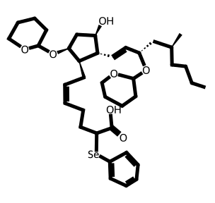 CCCC[C@H](C)C[C@@H](/C=C/[C@@H]1[C@@H](C/C=C\CCC([Se]c2ccccc2)C(=O)O)[C@@H](OC2CCCCO2)C[C@H]1O)OC1CCCCO1